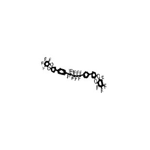 Fc1c(F)c(F)c2c(c1F)Oc1ccc(-c3ccc(C(F)(F)C(F)(F)C(F)(F)C(F)(F)c4ccc(-c5ccc6c(c5)Oc5c(F)c(F)c(F)c(F)c5O6)cc4)cc3)cc1O2